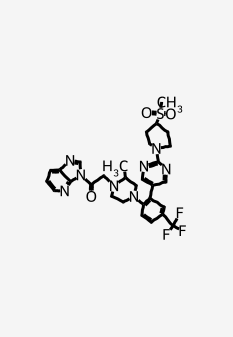 CC1CN(c2ccc(C(F)(F)F)cc2-c2cnc(N3CCC(S(C)(=O)=O)CC3)nc2)CCN1CC(=O)n1cnc2cccnc21